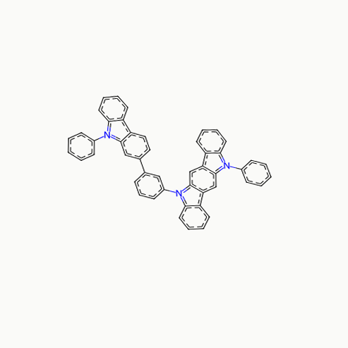 c1ccc(-n2c3ccccc3c3ccc(-c4cccc(-n5c6ccccc6c6cc7c(cc65)c5ccccc5n7-c5ccccc5)c4)cc32)cc1